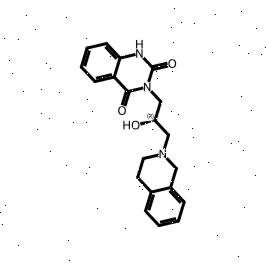 O=c1[nH]c2ccccc2c(=O)n1C[C@H](O)CN1CCc2ccccc2C1